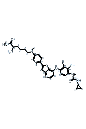 CN(CCCCC(N)C(=O)O)c1ccc(-c2cc3nccc(Oc4ccc(NC(=O)NC5CC5)c(F)c4F)c3s2)nc1